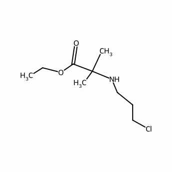 CCOC(=O)C(C)(C)NCCCCl